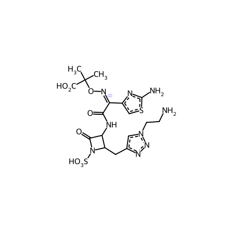 CC(C)(O/N=C(\C(=O)NC1C(=O)N(S(=O)(=O)O)C1Cc1cn(CCN)nn1)c1csc(N)n1)C(=O)O